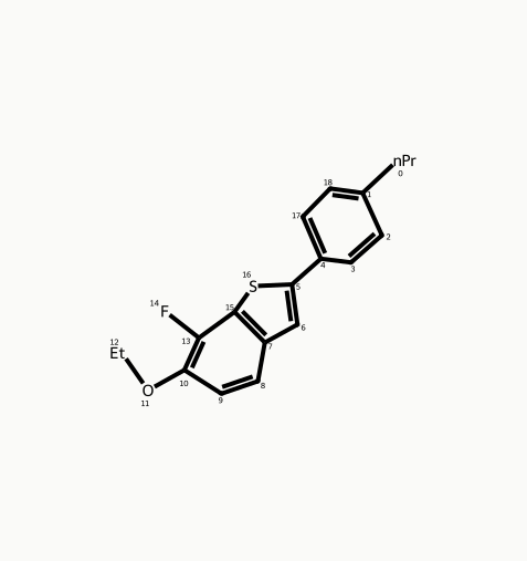 CCCc1ccc(-c2cc3ccc(OCC)c(F)c3s2)cc1